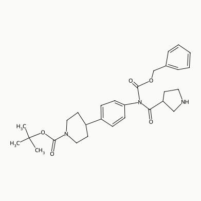 CC(C)(C)OC(=O)N1CCC(c2ccc(N(C(=O)OCc3ccccc3)C(=O)C3CCNC3)cc2)CC1